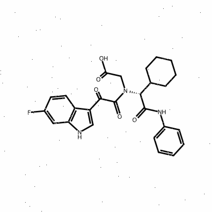 O=C(O)CN(C(=O)C(=O)c1c[nH]c2cc(F)ccc12)[C@@H](C(=O)Nc1ccccc1)C1CCCCC1